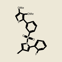 [CH2]c1cc(-c2ccccc2F)n(S(=O)(=O)c2cccc(-c3scc(OC)c3OC)c2)c1